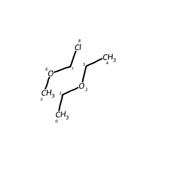 CCOCC.COCCl